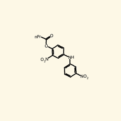 CCCC(=O)Oc1ccc(Nc2cccc([N+](=O)[O-])c2)cc1[N+](=O)[O-]